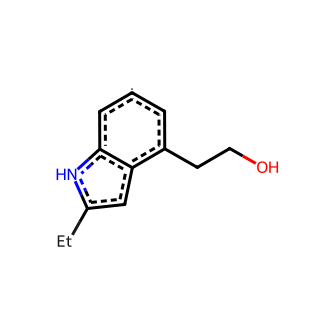 CCc1cc2c(CCO)c[c]cc2[nH]1